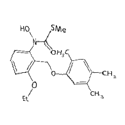 CCOc1cccc(N(O)C(=O)SC)c1COc1cc(C)c(C)cc1C